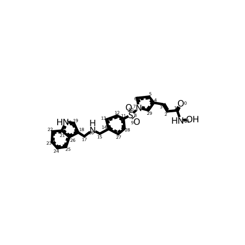 O=C(C=Cc1ccn(S(=O)(=O)c2ccc(CNCc3c[nH]c4ccccc34)cc2)c1)NO